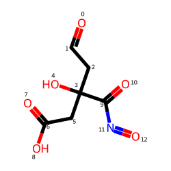 O=CCC(O)(CC(=O)O)C(=O)N=O